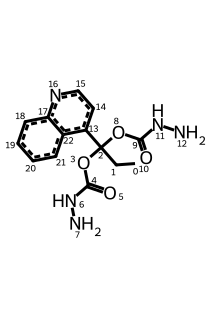 CCC(OC(=O)NN)(OC(=O)NN)c1ccnc2ccccc12